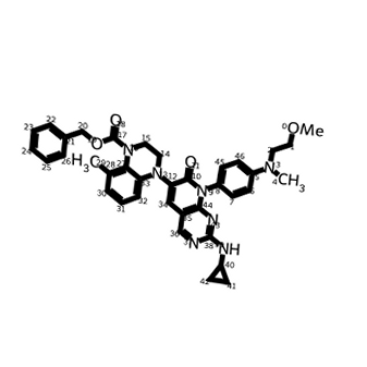 COCCN(C)c1ccc(-n2c(=O)c(N3CCN(C(=O)OCc4ccccc4)c4c(C)cccc43)cc3cnc(NC4CC4)nc32)cc1